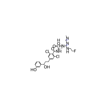 C/N=C/N=C(/NCCF)NC[C@H](NC(=O)c1c(Cl)cc(CCC(O)c2cccc(O)c2)cc1Cl)C(=O)O